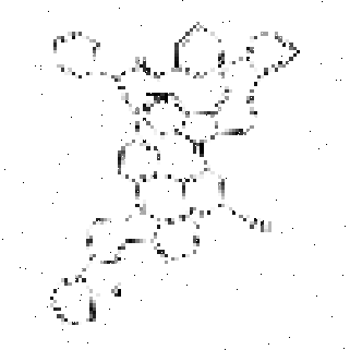 N#Cc1ccc(-c2cc(-c3nc(-c4ccccc4)nc(-c4ccccc4)n3)ccc2-n2c3ccccc3c3c4sc5ccccc5c4ccc32)c(-n2c3ccccc3c3c4sc5ccccc5c4ccc32)c1